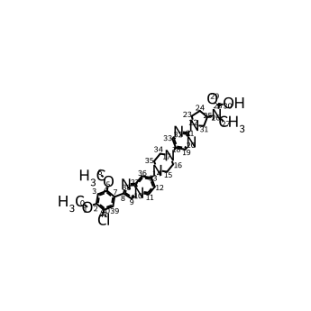 COc1cc(OC)c(-c2cn3ccc(N4CCN(c5cnc(N6CCC(N(C)C(=O)O)C6)nc5)CC4)cc3n2)cc1Cl